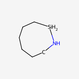 C1CCC[SiH2]NCC1